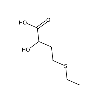 CCSCCC(O)C(=O)O